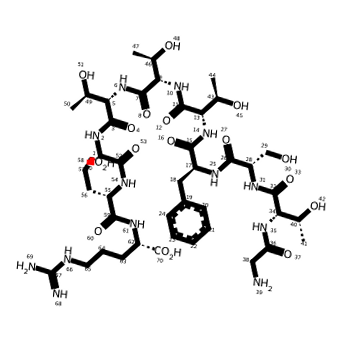 C[C@H](NC(=O)[C@@H](NC(=O)[C@@H](NC(=O)[C@@H](NC(=O)[C@H](Cc1ccccc1)NC(=O)[C@H](CO)NC(=O)[C@@H](NC(=O)CN)[C@@H](C)O)[C@@H](C)O)[C@@H](C)O)[C@@H](C)O)C(=O)N[C@@H](CCC(=O)O)C(=O)N[C@@H](CCCNC(=N)N)C(=O)O